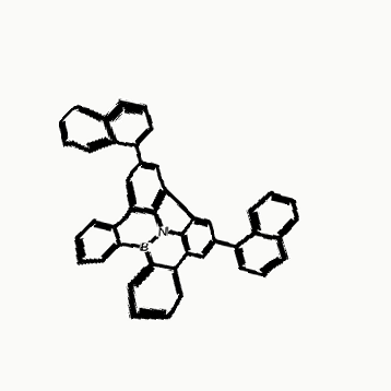 c1ccc2c(c1)B1c3ccccc3-c3cc(-c4cccc5ccccc45)cc4c5cc(-c6cccc7ccccc67)cc-2c5n1c34